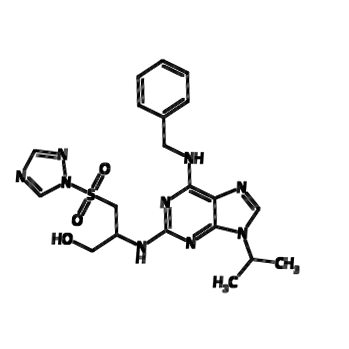 CC(C)n1cnc2c(NCc3ccccc3)nc(NC(CO)CS(=O)(=O)n3cncn3)nc21